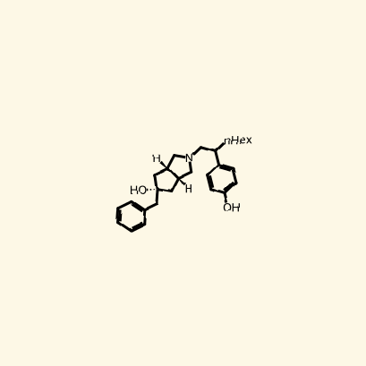 CCCCCCC(CN1C[C@@H]2C[C@@](O)(Cc3ccccc3)C[C@@H]2C1)c1ccc(O)cc1